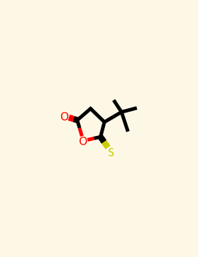 CC(C)(C)C1CC(=O)OC1=S